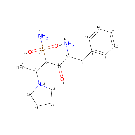 CCCC(C(C(=O)C(N)Cc1ccccc1)S(N)(=O)=O)N1CCCC1